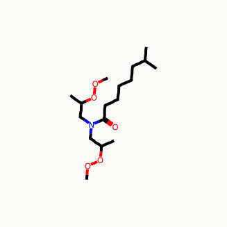 COOC(C)CN(CC(C)OOC)C(=O)CCCCCC(C)C